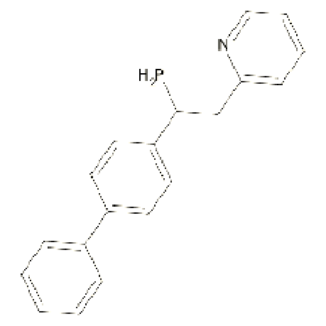 PC(Cc1ccccn1)c1ccc(-c2ccccc2)cc1